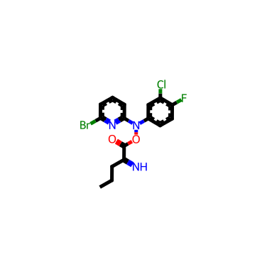 CCCC(=N)C(=O)ON(c1ccc(F)c(Cl)c1)c1cccc(Br)n1